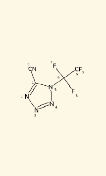 N#Cc1nnnn1C(F)(F)C(F)(F)F